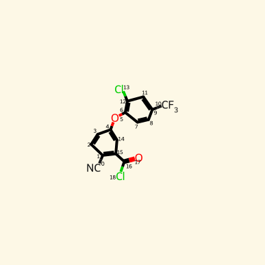 N#Cc1ccc(Oc2ccc(C(F)(F)F)cc2Cl)cc1C(=O)Cl